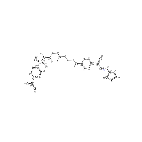 CN(C1CCN(CCCOc2ccc(C(=O)/C=C/c3ccco3)cc2)CC1)S(=O)(=O)c1ccc([N+](=O)[O-])cc1